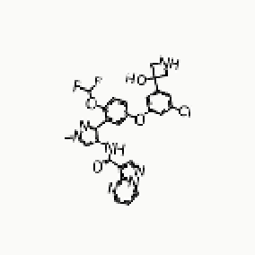 Cn1cc(NC(=O)c2cnn3cccnc23)c(-c2cc(Oc3cc(Cl)cc(C4(O)CNC4)c3)ccc2OC(F)F)n1